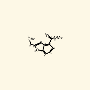 COC(=O)c1cccc2oc(COC(C)=O)cc12